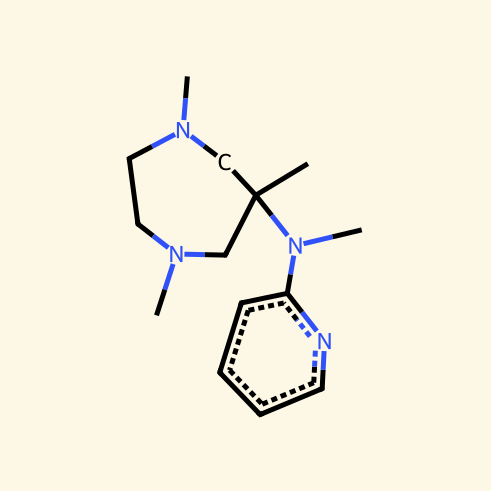 CN1CCN(C)CC(C)(N(C)c2ccccn2)C1